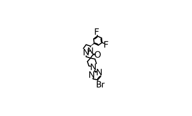 O=C1N2[C@H](c3cc(F)cc(F)c3)CCN2CC12CCN(c1ncc(Br)cn1)CC2